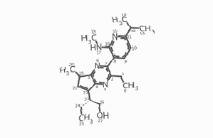 CCc1nc2c(nc1-c1ccc(C(C)C)nc1NC)C(C)C=C2[C@@H](CC)CO